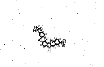 COc1cc(NS(C)(=O)=O)ccc1Nc1cccc2[nH]c3cc4cc([N+](=O)[O-])ccc4nc3c12